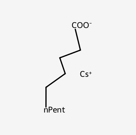 CCCCCCCCCC(=O)[O-].[Cs+]